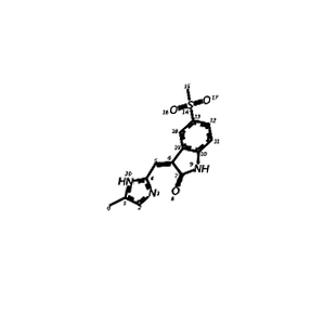 Cc1cnc(/C=C2\C(=O)Nc3ccc(S(C)(=O)=O)cc32)[nH]1